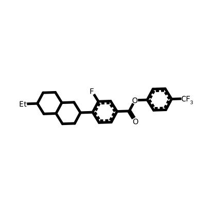 CCC1CCC2CC(c3ccc(C(=O)Oc4ccc(C(F)(F)F)cc4)cc3F)CCC2C1